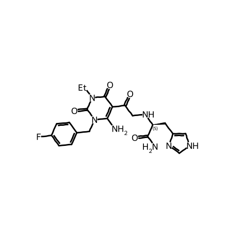 CCn1c(=O)c(C(=O)CN[C@@H](Cc2c[nH]cn2)C(N)=O)c(N)n(Cc2ccc(F)cc2)c1=O